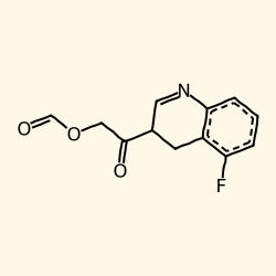 O=COCC(=O)C1C=Nc2cccc(F)c2C1